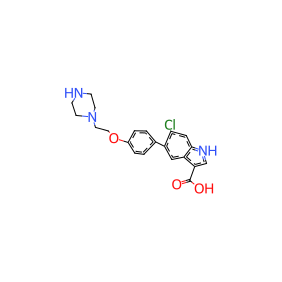 O=C(O)c1c[nH]c2cc(Cl)c(-c3ccc(OCCN4CCNCC4)cc3)cc12